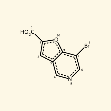 O=C(O)c1cc2cncc(Br)c2o1